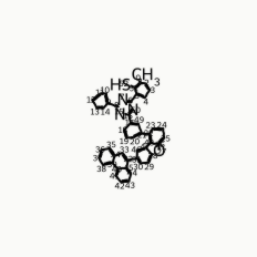 Cc1cccc(-c2nc(-c3ccccc3)nc(-c3cccc(-c4cccc5oc6ccc(-c7cc8ccccc8c8ccccc78)cc6c45)c3)n2)c1S